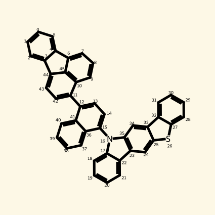 c1ccc2c(c1)-c1cccc3c(-c4ccc(-n5c6ccccc6c6cc7sc8ccccc8c7cc65)c5ccccc45)ccc-2c13